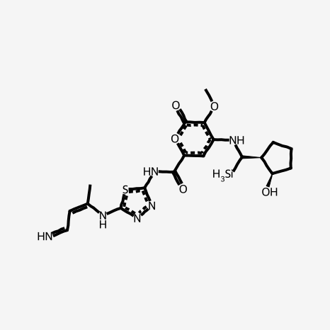 COc1c(NC([SiH3])[C@H]2CCC[C@H]2O)cc(C(=O)Nc2nnc(N/C(C)=C\C=N)s2)oc1=O